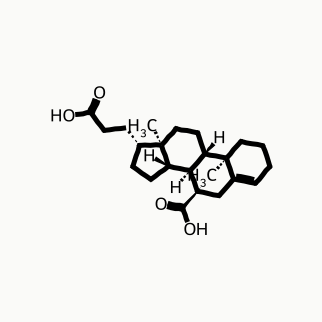 C[C@]12CC[C@H]3[C@@H]([C@H](C(=O)O)CC4=CCCC[C@@]43C)[C@@H]1CC[C@@H]2CCC(=O)O